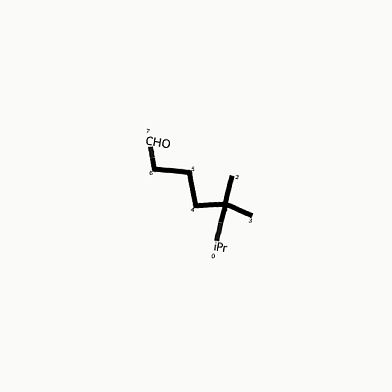 CC(C)C(C)(C)CCCC=O